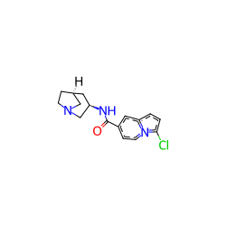 O=C(N[C@@H]1C[C@@H]2CCN(C2)C1)c1ccn2c(Cl)ccc2c1